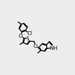 Cc1ccc(Cl)c(Oc2sc(COc3cc4cc[nH]c4cc3C)cc2C)c1